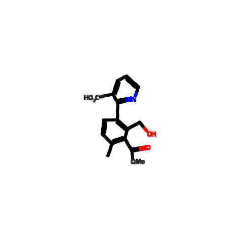 COC(=O)c1c(C)ccc(-c2ncccc2C(=O)O)c1CO